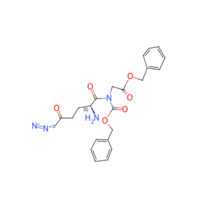 [N-]=[N+]=CC(=O)CC[C@H](N)C(=O)N(CC(=O)OCc1ccccc1)C(=O)OCc1ccccc1